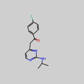 CC(C)Nc1nccc(CC(=O)c2ccc(F)cc2)n1